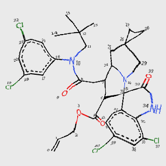 C=CCOC(=O)C1C(C(=O)N(CC(C)(C)C)c2cc(Cl)cc(Cl)c2)C2CC3(CC3)CN2[C@@]12C(=O)Nc1c(Cl)cc(Cl)cc12